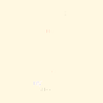 CCC=CCC(O)C=CC=CC=CC(O)CCNCCCCCC